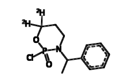 [2H]C1([2H])CCN(C(C)c2ccccc2)P(=O)(Cl)O1